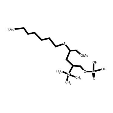 CCCCCCCCCCCCCCCCSC(COC)CC(COP(=O)(O)O)[N+](C)(C)C